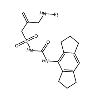 C=C(CNCC)CS(=O)(=O)NC(=O)Nc1c2c(cc3c1CCC3)CCC2